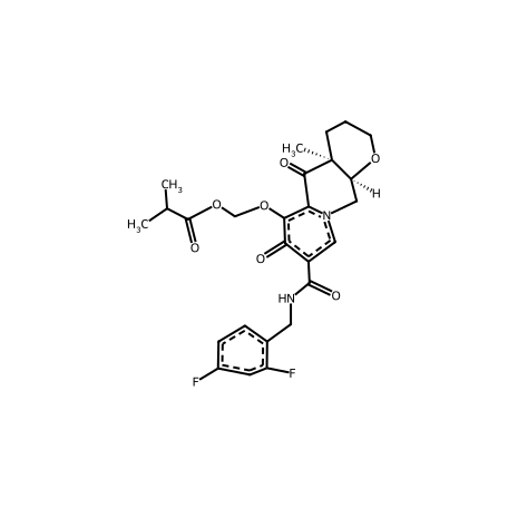 CC(C)C(=O)OCOc1c2n(cc(C(=O)NCc3ccc(F)cc3F)c1=O)C[C@@H]1OCCC[C@]1(C)C2=O